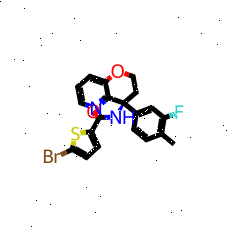 Cc1ccc([C@@]2(NC(=O)c3ccc(Br)s3)CCOc3cccnc32)cc1F